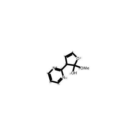 COC1(O)OC=CC1c1ncccn1